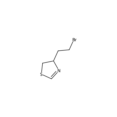 BrCCC1CSC=N1